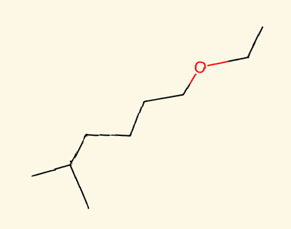 CCOCCCC[C](C)C